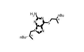 CCCC[C@@H](C)CSc1nc(N)nc2c1ncn2C[C@H](C)CCCC